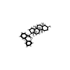 C[C@H]1CC[C@H]2[C@@H](CC[C@@H]3[C@@H]2CC[C@]2(C)[C@@H](C(=O)c4ccccc4-c4ccccc4)CC[C@@H]32)C1